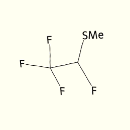 [CH2]SC(F)C(F)(F)F